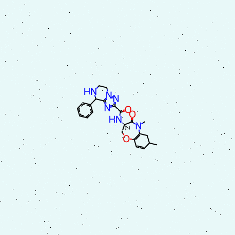 CC1C=CC2=C(C1)N(C)C(=O)[C@@H](NC(=O)c1nc3n(n1)CCNC3c1ccccc1)CO2